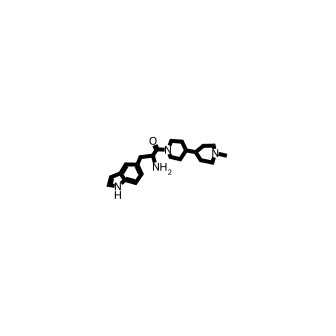 CN1CCC(C2CCN(C(=O)C(N)Cc3ccc4[nH]ccc4c3)CC2)CC1